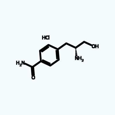 Cl.NC(=O)c1ccc(C[C@@H](N)CO)cc1